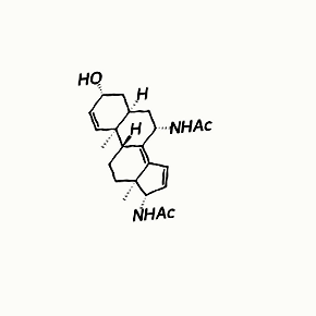 CC(=O)N[C@H]1C[C@@H]2C[C@@H](O)C=C[C@]2(C)[C@H]2CC[C@@]3(C)C(=C12)C=C[C@@H]3NC(C)=O